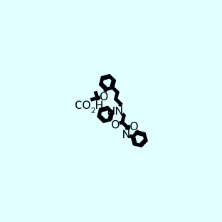 CC(C)(Oc1ccccc1CCCNCC(Oc1ccccc1)c1nc2ccccc2o1)C(=O)O